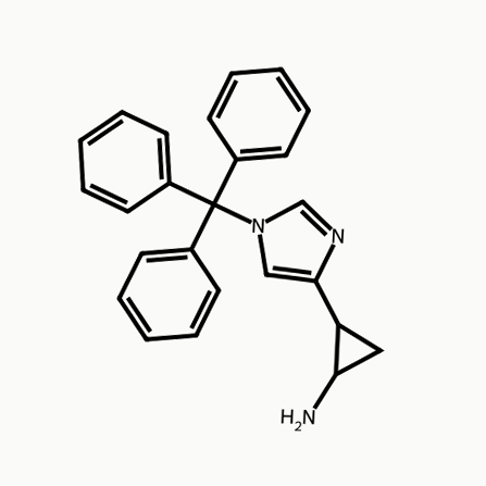 NC1CC1c1cn(C(c2ccccc2)(c2ccccc2)c2ccccc2)cn1